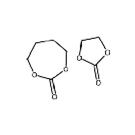 O=C1OCCCCO1.O=C1OCCO1